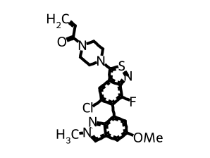 C=CC(=O)N1CCN(c2snc3c(F)c(-c4cc(OC)cc5cn(C)nc45)c(Cl)cc23)CC1